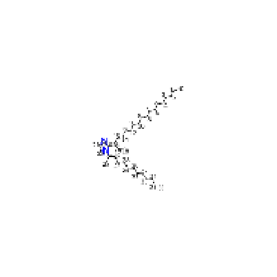 CCCCCCCCCCCCCCCCC(CC)c1nccn1C(C)CCCCCCCCCCC